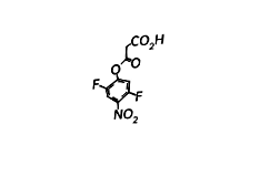 O=C(O)CC(=O)Oc1cc(F)c([N+](=O)[O-])cc1F